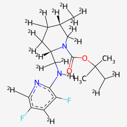 [2H]c1nc(N([2H])C([2H])([2H])[C@@]2([2H])N(C(=O)OC(C)(C)C([2H])[2H])C([2H])([2H])[C@@]([2H])(C([2H])([2H])[2H])C([2H])([2H])C2([2H])[2H])c(F)c([2H])c1F